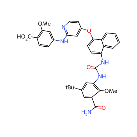 COc1cc(Nc2cc(Oc3ccc(NC(=O)Nc4cc(C(C)(C)C)cc(C(N)=O)c4OC)c4ccccc34)ccn2)ccc1C(=O)O